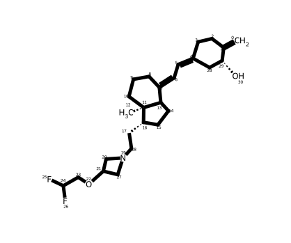 C=C1CC/C(=C/C=C2\CCC[C@@]3(C)C2CC[C@@H]3CCN2CC(OCC(F)F)C2)C[C@H]1O